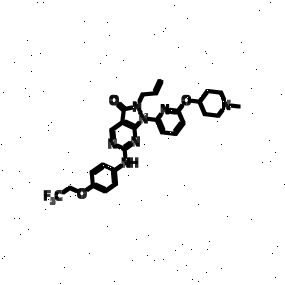 C=CCn1c(=O)c2cnc(Nc3ccc(OCC(F)(F)F)cc3)nc2n1-c1cccc(OC2CCN(C)CC2)n1